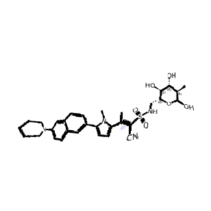 C/C(=C(/C#N)S(=O)(=O)NC[C@H]1OC(O)[C@H](C)[C@@H](O)[C@@H]1O)c1ccc(-c2ccc3cc(N4CCCCC4)ccc3c2)n1C